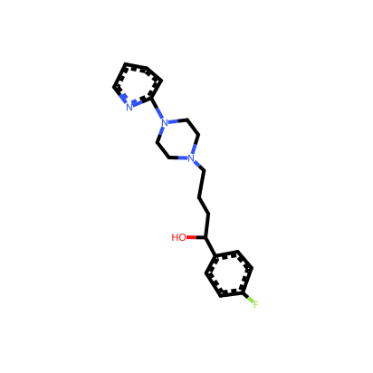 OC(CCCN1CCN(c2ccccn2)CC1)c1ccc(F)cc1